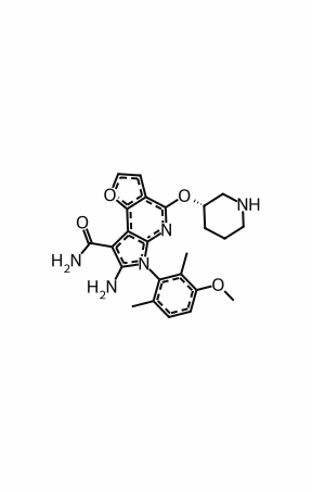 COc1ccc(C)c(-n2c(N)c(C(N)=O)c3c4occc4c(O[C@H]4CCCNC4)nc32)c1C